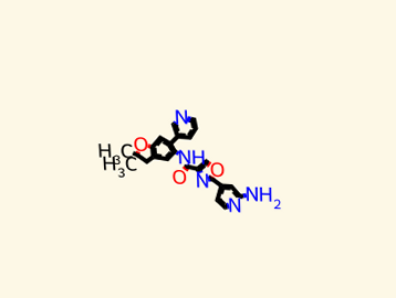 CC1(C)Cc2cc(NC(=O)c3coc(-c4ccnc(N)c4)n3)c(-c3cccnc3)cc2O1